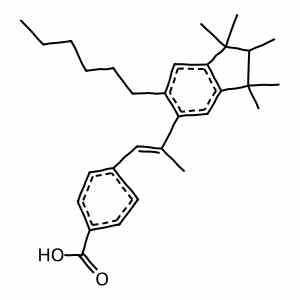 CCCCCCc1cc2c(cc1C(C)=Cc1ccc(C(=O)O)cc1)C(C)(C)C(C)C2(C)C